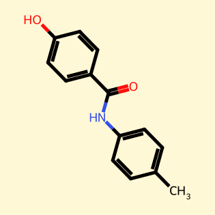 Cc1ccc(NC(=O)c2ccc(O)cc2)cc1